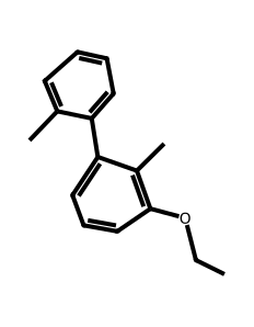 CCOc1cccc(-c2ccccc2C)c1C